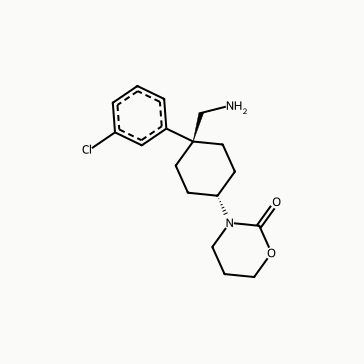 NC[C@]1(c2cccc(Cl)c2)CC[C@@H](N2CCCOC2=O)CC1